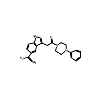 N=C(N)c1ccc2[nH]cc(CC(=O)N3CCN(c4ccccc4)CC3)c2c1